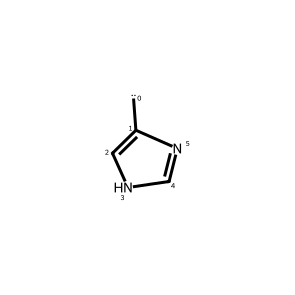 [CH]c1c[nH]cn1